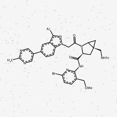 COCc1ccc(Br)nc1NC(=O)[C@@H]1C[C@@]2(CNC(C)=O)CC2N1C(=O)Cn1nc(C(C)=O)c2cc(-c3cnc(C)nc3)ccc21